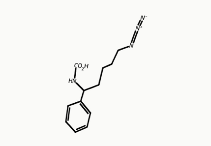 [N-]=[N+]=NCCCCC(NC(=O)O)c1ccccc1